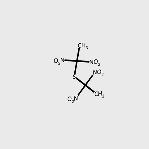 CC(SC(C)([N+](=O)[O-])[N+](=O)[O-])([N+](=O)[O-])[N+](=O)[O-]